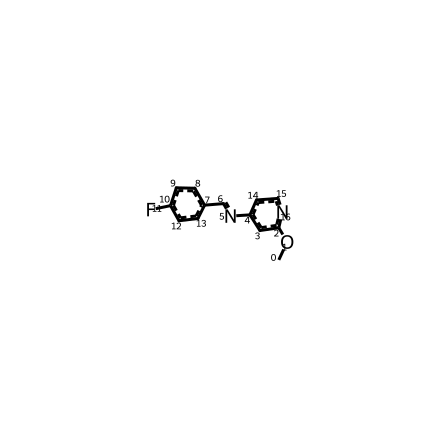 COc1cc(N=Cc2ccc(F)cc2)ccn1